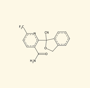 N#CC1(c2nc(C(F)(F)F)ccc2C(N)=O)OCc2ccccc21